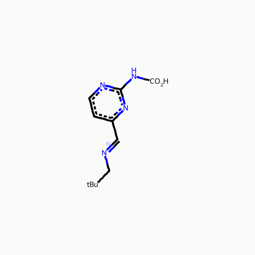 CC(C)(C)C/N=C/c1ccnc(NC(=O)O)n1